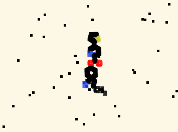 CCCC1(C#N)CCC(OC(=O)c2ccc(-c3cccs3)cn2)CC1